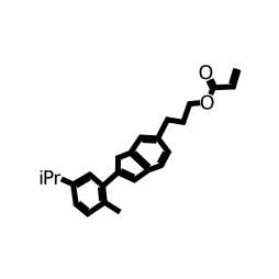 C=CC(=O)OCCCc1ccc2c(c1)CC(c1cc(C(C)C)ccc1C)=C2